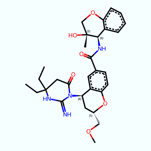 CCC1(CC)CC(=O)N([C@@H]2C[C@@H](COC)Oc3ccc(C(=O)N[C@@H]4c5ccccc5OC[C@@]4(C)O)cc32)C(=N)N1